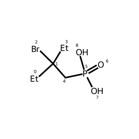 CCC(Br)(CC)CP(=O)(O)O